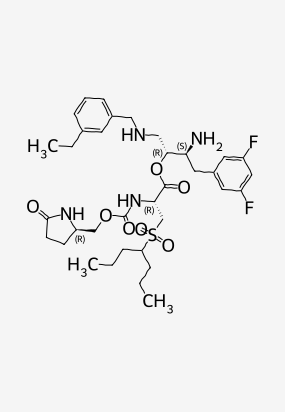 CCCC(CCC)S(=O)(=O)C[C@H](NC(=O)OC[C@H]1CCC(=O)N1)C(=O)O[C@H](CNCc1cccc(CC)c1)[C@@H](N)Cc1cc(F)cc(F)c1